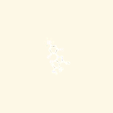 N#Cc1nn(-c2c(Cl)cc(S(F)(F)(F)(F)F)cc2Cl)c(Cl)c1C1(C(N)=O)CC1